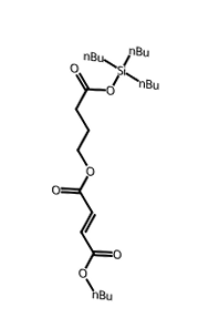 CCCCOC(=O)/C=C/C(=O)OCCCC(=O)O[Si](CCCC)(CCCC)CCCC